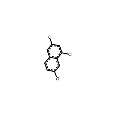 Clc1[c]c2ccc(Cl)cc2c(Cl)c1